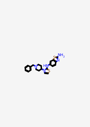 Nc1nc2ccc(NC3SC=CN3C3CCN(Cc4ccccc4)CC3)cc2s1